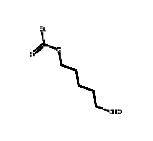 CCC(=O)OCCCCC[C]=O